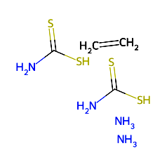 C=C.N.N.NC(=S)S.NC(=S)S